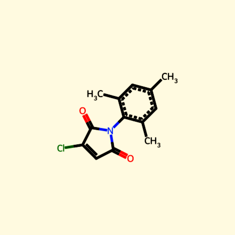 Cc1cc(C)c(N2C(=O)C=C(Cl)C2=O)c(C)c1